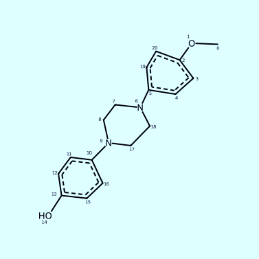 COc1ccc(N2CCN(c3ccc(O)cc3)CC2)cc1